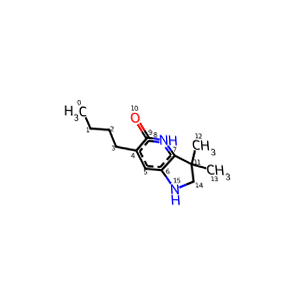 CCCCc1cc2c([nH]c1=O)C(C)(C)CN2